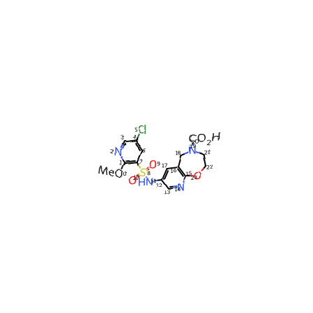 COc1ncc(Cl)cc1S(=O)(=O)Nc1cnc2c(c1)CN(C(=O)O)CCO2